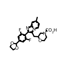 Cc1ccn2c(CC3CN(C(=O)O)CCO3)c(-c3c(F)cc(C4OCCO4)cc3F)nc2c1